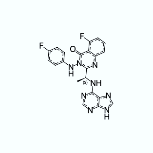 C[C@H](Nc1ncnc2[nH]cnc12)c1nc2cccc(F)c2c(=O)n1Nc1ccc(F)cc1